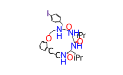 CC(C)C[C@@H]1NC(=O)[C@@H](C(C)C)NC(=O)[C@@H](Cc2ccc(I)cc2)NCCOc2ccccc2CCCNC1=O